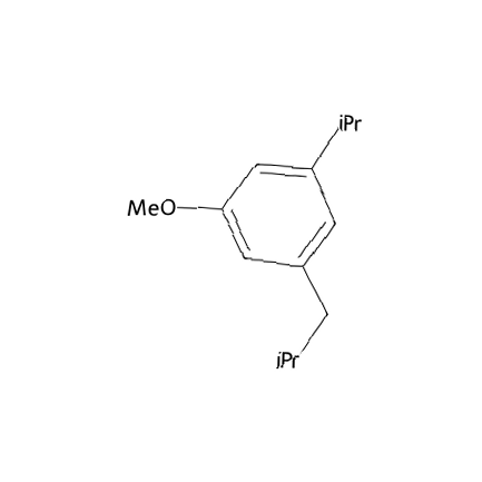 [CH2]C(C)c1cc(CC(C)C)cc(OC)c1